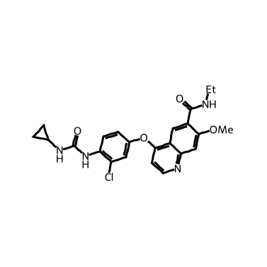 CCNC(=O)c1cc2c(Oc3ccc(NC(=O)NC4CC4)c(Cl)c3)ccnc2cc1OC